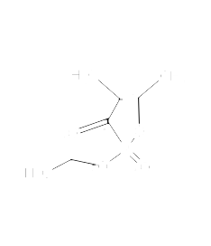 CCOP(=O)(OCC)C(=O)CC